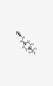 CC(C)(C)N1CCN(CCC#N)CC1